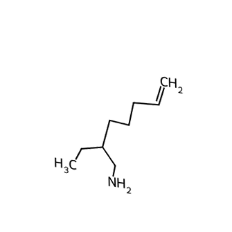 C=CCCCC(CC)CN